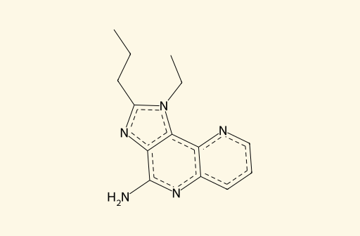 CCCc1nc2c(N)nc3cccnc3c2n1CC